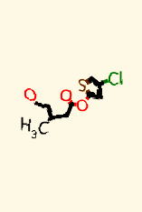 CC(CC=O)CC(=O)Oc1cc(Cl)cs1